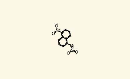 O=[N+]([O-])c1cccc2c(O[SH](=O)=O)cccc12